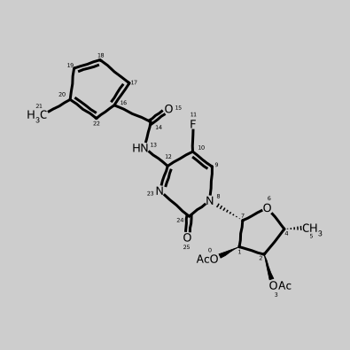 CC(=O)O[C@@H]1[C@H](OC(C)=O)[C@@H](C)O[C@H]1n1cc(F)c(NC(=O)c2cccc(C)c2)nc1=O